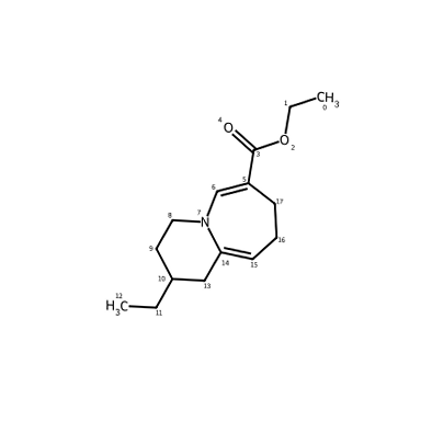 CCOC(=O)C1=CN2CCC(CC)CC2=CCC1